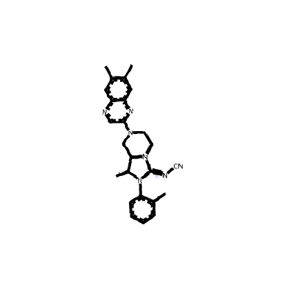 Cc1cc2ncc(N3CCN4/C(=N\C#N)N(c5ccccc5C)C(C)C4C3)nc2cc1C